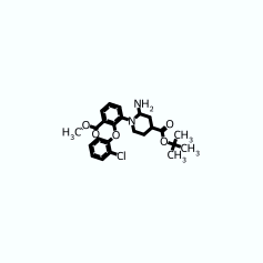 COC(=O)c1cccc(N2CCC(C(=O)OC(C)(C)C)CC2N)c1Oc1ccccc1Cl